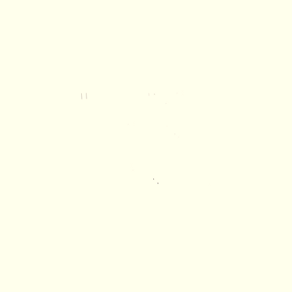 C#CCOc1c(C(=O)O)sc2c1c(SC)nc1ccccc12